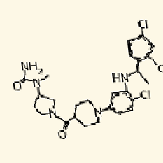 CC(Nc1cc(N2CCC(C(=O)N3CCC(N(C)C(N)=O)C3)CC2)ccc1Cl)c1ccc(Cl)cc1Cl